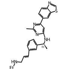 CCNCC=Cc1cccc([C@H](C)Nc2cc(-c3ccc4ncsc4c3)nc(C)n2)c1